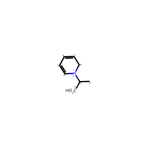 CC(C(=O)O)N1C=CC=CC1